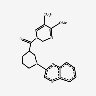 COC1=NCN(C(=O)C2CCCN(c3cnc4ccccc4n3)C2)C=C1C(=O)O